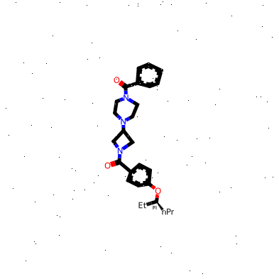 CCC[C@@H](CC)Oc1ccc(C(=O)N2CC(N3CCN(C(=O)c4ccccc4)CC3)C2)cc1